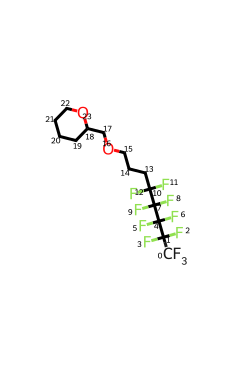 FC(F)(F)C(F)(F)C(F)(F)C(F)(F)C(F)(F)CCCOCC1CCCCO1